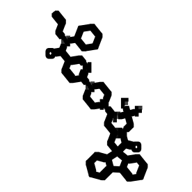 C=CCN(C(=O)c1ccc(N2CCN(CCCCC3(C(=O)NCC(F)(F)F)c4ccccc4-c4ccccc43)CC2)nc1)C1CCCCC1